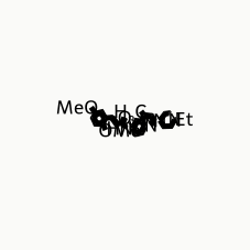 CCN1CCN(c2cc(C)c3cc(NC(=O)/C=C/c4cc(OC)ccc4OC)ccc3n2)CC1